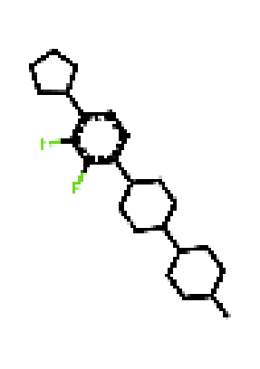 CC1CCC(C2CCC(c3ccc(C4CCCC4)c(F)c3F)CC2)CC1